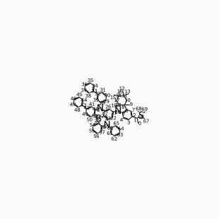 CC(c1ccc2c(c1)C1(C)CC(C)(C)C(C)(C)CC1(C)N2c1cc2c3c(c1)N(c1cccc(-c4ccccc4)c1)c1cc(-c4ccccc4)ccc1B3c1ccccc1N2c1ccccc1)S(C)(C)C